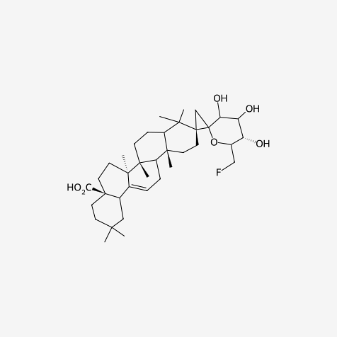 CC1(C)CC[C@]2(C(=O)O)CC[C@]3(C)C(=CCC4[C@@]5(C)CC[C@]6(CC67OC(CF)[C@@H](O)C(O)C7O)C(C)(C)C5CC[C@]43C)C2C1